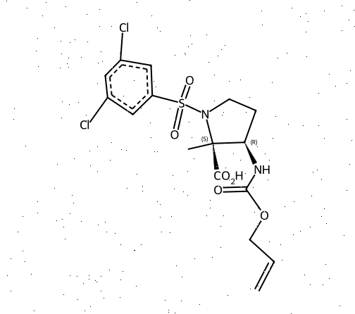 C=CCOC(=O)N[C@@H]1CCN(S(=O)(=O)c2cc(Cl)cc(Cl)c2)[C@]1(C)C(=O)O